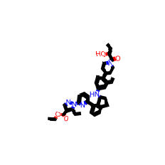 CCOC(=O)c1cnn(-c2cccc(-c3cccc4c3C(Nc3ccc(C5CCN(C(=O)C(O)CC)CC5)c(CC)c3)CC4)n2)c1CC